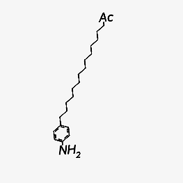 CC(=O)CCCCCCCCCCCCCCc1ccc(N)cc1